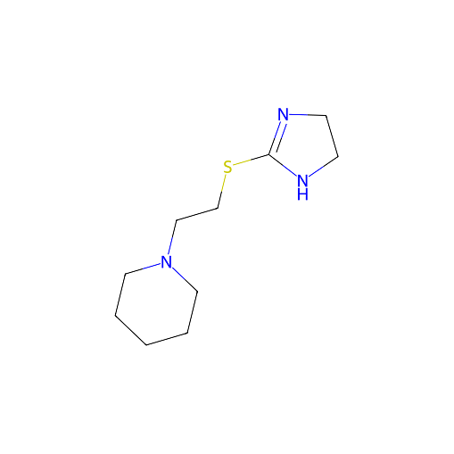 C1CCN(CCSC2=NCCN2)CC1